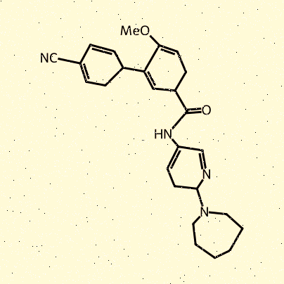 COC1=CCC(C(=O)NC2=CCC(N3CCCCCC3)N=C2)C=C1C1C=CC(C#N)=CC1